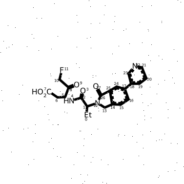 CCC(C(=O)NC(CC(=O)O)C(=O)CF)N1Cc2ccc(-c3cccnc3)cc2C1=O